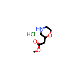 COC(=O)CC1CNCCO1.Cl